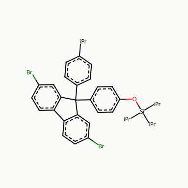 CC(C)c1ccc(C2(c3ccc(O[Si](C(C)C)(C(C)C)C(C)C)cc3)c3cc(Br)ccc3-c3ccc(Br)cc32)cc1